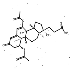 CC(=O)SC1=CC2=CC(=O)C[C@H](SC(C)=O)[C@]2(C)[C@H]2CC[C@@]3(C)[C@@H](CC[C@@]3(O)CCC(=O)O)[C@H]12